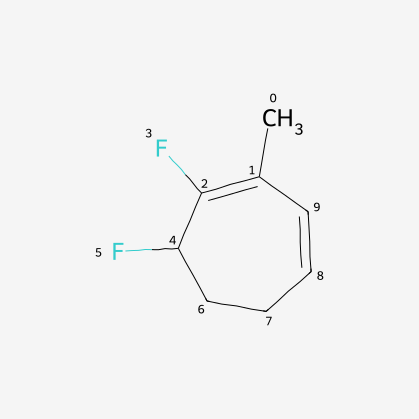 CC1=C(F)C(F)CCC=C1